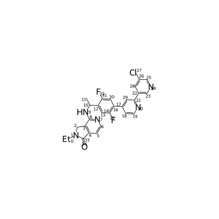 CCN1Cc2c(ccnc2NC(C)c2cc(F)c(-c3ccnc(-c4cncc(Cl)c4)c3)cc2F)C1=O